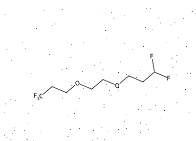 FC(F)CCOCCOCCC(F)(F)F